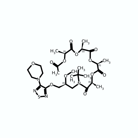 CO[C@H](COc1nsnc1N1CCOCC1)CN(C(=O)[C@H](C)OC(=O)[C@H](C)OC(=O)[C@H](C)OC(=O)[C@H](C)OC(C)=O)C(C)(C)C